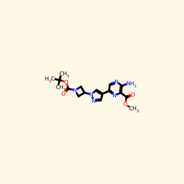 COC(=O)c1nc(-c2cnn(C3CN(C(=O)OC(C)(C)C)C3)c2)cnc1N